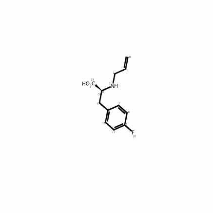 C=CCN[C@@H](Cc1ccc(F)cc1)C(=O)O